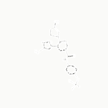 Cc1cc(-c2cc(C(=O)Nc3ccc(OC(F)(F)F)cc3)cnc2N2CC[C@@H](O)C2)[nH]n1